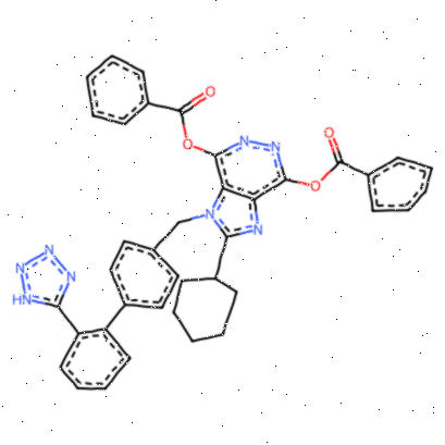 O=C(Oc1nnc(OC(=O)c2ccccc2)c2c1nc(C1CCCCC1)n2Cc1ccc(-c2ccccc2-c2nnn[nH]2)cc1)c1ccccc1